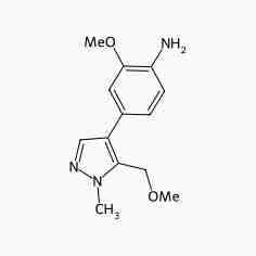 COCc1c(-c2ccc(N)c(OC)c2)cnn1C